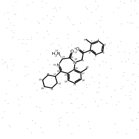 Cc1ccccc1C(=O)CN1C(=O)[C@@H](N)N=C(C2CCCCC2)c2cccc(C)c21